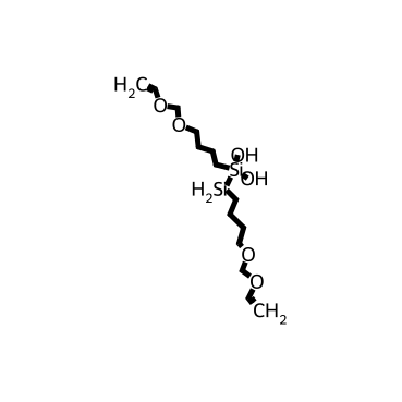 C=COCOCCCC[SiH2][Si](O)(O)CCCCOCOC=C